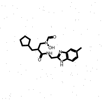 Cc1ccc2[nH]c(CNC(=O)C(CC3CCCC3)CN(O)C=O)nc2c1